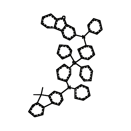 CC1(C)c2ccccc2-c2ccc(N(c3ccccc3)c3cccc([Si](c4ccccc4)(c4ccccc4)c4cccc(N(c5ccccc5)c5ccc6c(c5)oc5ccccc56)c4)c3)cc21